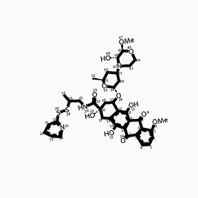 COc1cccc2c1C(=O)c1c(O)c3c(c(O)c1C2=O)C[C@@](O)(C(=O)NCC(C)SSc1ccccn1)CC3O[C@H]1CC(N2CCO[C@H](OC)[C@H]2O)C[C@H](C)O1